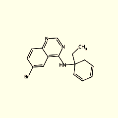 CCC1(Nc2ncnc3ccc(Br)cc23)C=CC=CC1